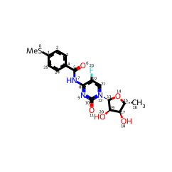 CSc1ccc(C(=O)Nc2nc(=O)n([C@@H]3O[C@H](C)[C@@H](O)[C@H]3O)cc2F)cc1